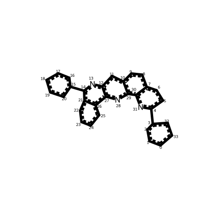 c1ccc(-c2ccc3ccc4cc5nc(-c6ccccc6)c6ccccc6c5nc4c3n2)cc1